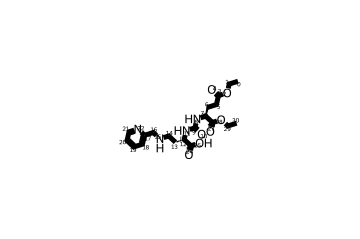 CCOC(=O)CC[C@H](NC(=O)N[C@@H](CCNCc1ccccn1)C(=O)O)C(=O)OCC